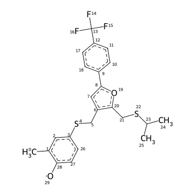 Cc1cc(SCc2cc(-c3ccc(C(F)(F)F)cc3)oc2CSC(C)C)ccc1[O]